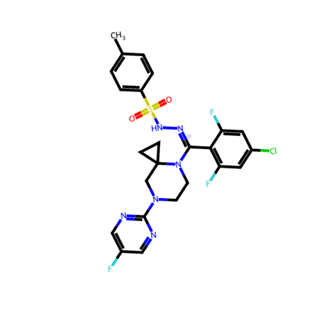 Cc1ccc(S(=O)(=O)N/N=C(/c2c(F)cc(Cl)cc2F)N2CCN(c3ncc(F)cn3)CC23CC3)cc1